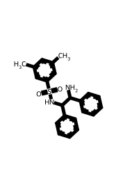 Cc1cc(C)cc(S(=O)(=O)NC(c2ccccc2)C(N)c2ccccc2)c1